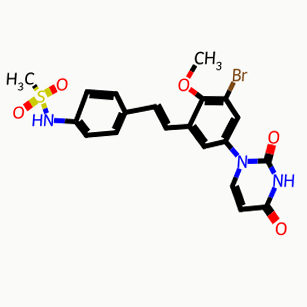 COc1c(Br)cc(-n2ccc(=O)[nH]c2=O)cc1C=Cc1ccc(NS(C)(=O)=O)cc1